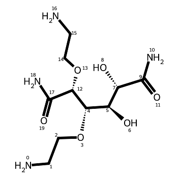 NCCO[C@@H]([C@H](O)[C@H](O)C(N)=O)[C@@H](OCCN)C(N)=O